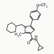 Cc1c(C(=O)NC2CC2)cc(-c2ccc(OC(F)(F)F)cc2)n1CC1CCCCC1